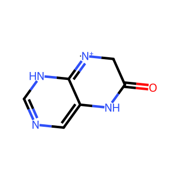 O=C1C[N+]=C2NC=NC=C2N1